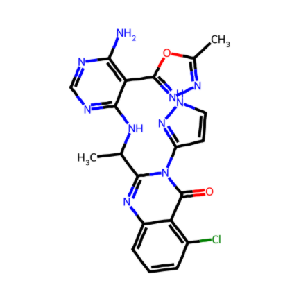 Cc1nnc(-c2c(N)ncnc2NC(C)c2nc3cccc(Cl)c3c(=O)n2-c2cc[nH]n2)o1